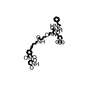 CS(=O)(=O)N1CCC(C(=O)N[C@@H](CCOCCCC(=O)NCCCC#Cc2ccc3c(c2)C(=O)N(C2CCC(=O)NC2=O)C3=O)C(=O)NC2NC(c3ccccc3)CS2)C1